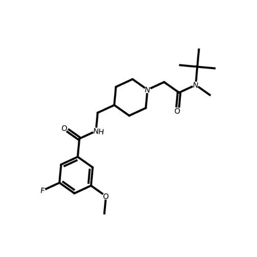 COc1cc(F)cc(C(=O)NCC2CCN(CC(=O)N(C)C(C)(C)C)CC2)c1